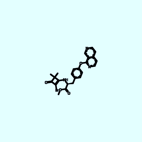 COC(=O)[C@H](Cc1ccc(Oc2nccc3ccncc23)cc1)NC1=C(Br)C(=O)C1(C)C